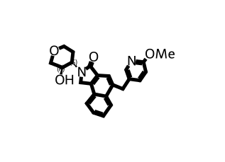 COc1ccc(Cc2cc3c(c4ccccc24)CN([C@H]2CCOC[C@@H]2O)C3=O)cn1